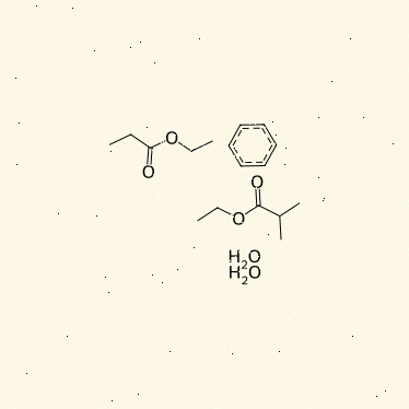 CCOC(=O)C(C)C.CCOC(=O)CC.O.O.c1ccccc1